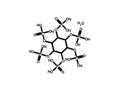 O.O=P(O)(O)OC1C(OP(=O)(O)O)C(OP(=O)(O)O)C(OP(=O)(O)O)C(OP(=O)(O)O)C1OP(=O)(O)O